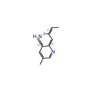 C\C=C(I)/C=c1/ncc(C)c/c1=C/N